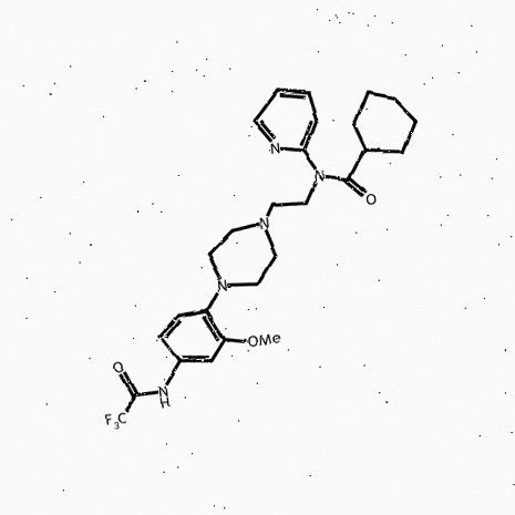 COc1cc(NC(=O)C(F)(F)F)ccc1N1CCN(CCN(C(=O)C2CCCCC2)c2ccccn2)CC1